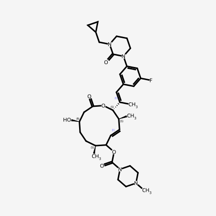 C/C(=C\c1cc(F)cc(N2CCCN(CC3CC3)C2=O)c1)[C@H]1OC(=O)C[C@H](O)CC[C@H](C)C(OC(=O)N2CCN(C)CC2)/C=C/[C@@H]1C